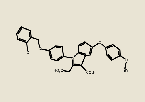 CC(C)Oc1ccc(Oc2ccc3c(c2)c(C(=O)O)c(CC(=O)O)n3-c2ccc(OCc3ccccc3Cl)cc2)cc1